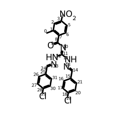 Cc1cc([N+](=O)[O-])ccc1C(=O)N=C(N/N=C/c1ccc(Cl)cc1)N/N=C/c1ccc(Cl)cc1